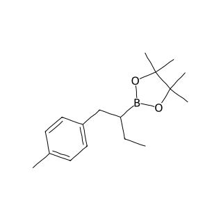 CCC(Cc1ccc(C)cc1)B1OC(C)(C)C(C)(C)O1